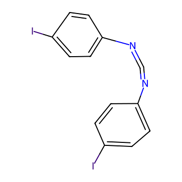 Ic1ccc(N=C=Nc2ccc(I)cc2)cc1